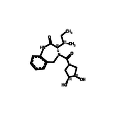 CC[C@H](C)[C@H]1C(=O)Nc2ccccc2CN1C(=O)N1C[C@@H](O)[C@@H](O)C1